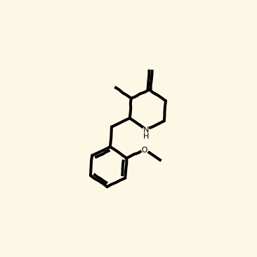 C=C1CCNC(Cc2ccccc2OC)C1C